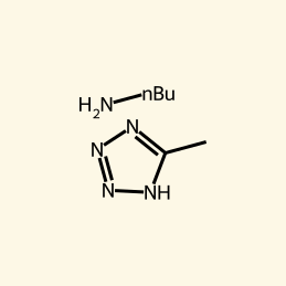 CCCCN.Cc1nnn[nH]1